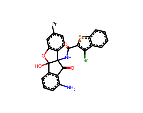 CC(C)c1ccc2c(c1)OC1(O)c3cccc(N)c3C(=O)C21NC(=O)c1sc2ccccc2c1Br